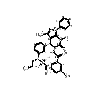 C=CCN(c1cccc([C@@H]2c3c(C)nn(-c4ccccc4)c3N(CC)C(=O)[C@H]2NC(=O)c2cccc(C(F)(F)F)c2)c1)S(=O)(=O)C=C